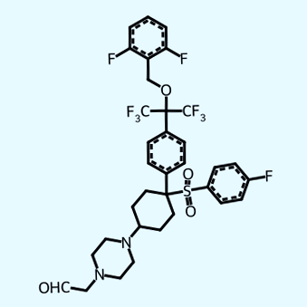 O=CCN1CCN(C2CCC(c3ccc(C(OCc4c(F)cccc4F)(C(F)(F)F)C(F)(F)F)cc3)(S(=O)(=O)c3ccc(F)cc3)CC2)CC1